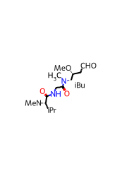 CC[C@H](C)[C@@H]([C@@H](CC=O)OC)N(C)C(=O)CNC(=O)[C@@H](NC)C(C)C